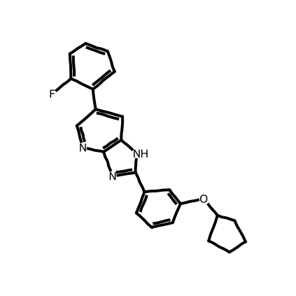 Fc1ccccc1-c1cnc2nc(-c3cccc(OC4CCCC4)c3)[nH]c2c1